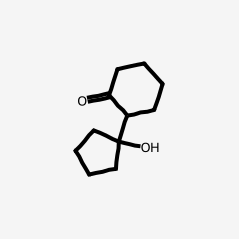 O=C1CCCCC1C1(O)CCCC1